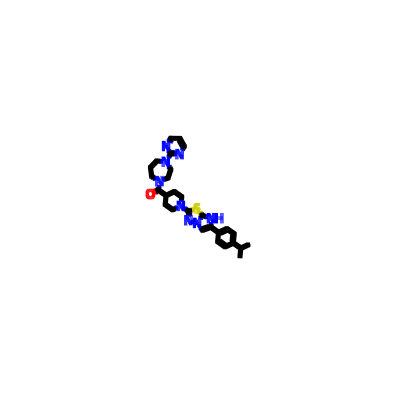 CC(C)c1ccc(C2=CN3N=C(N4CCC(C(=O)N5CCCN(c6ncccn6)CC5)CC4)SC3N2)cc1